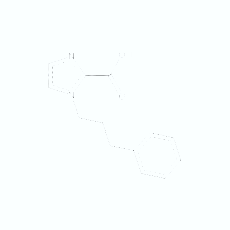 O=C(O)c1nccn1CCCc1ccccc1